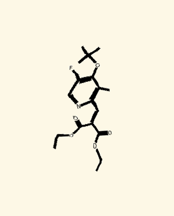 CCOC(=O)C(=Cc1ncc(F)c(OC(C)(C)C)c1C)C(=O)OCC